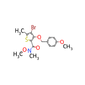 COc1ccc(COc2c(C(=O)N(C)OC)sc(C)c2Br)cc1